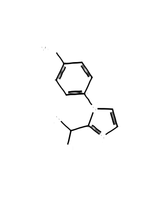 COc1ccc(-n2ccnc2C(C)N)cc1